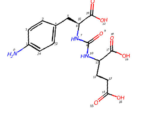 Nc1ccc(C[C@H](NC(=O)NC(CCC(=O)O)C(=O)O)C(=O)O)cc1